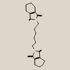 O=C1C2=C(CCCC2)C(=O)N1CCCCCCN1C(=O)C2=C(CCCC2)C1=O